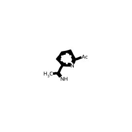 CC(=N)c1cccc(C(C)=O)n1